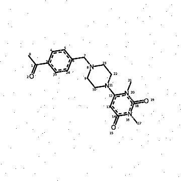 CC(=O)c1ccc(CN2CCN(c3cc(=O)n(C)c(=O)n3C)CC2)cc1